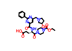 CCOC(=O)N1CCN(C(=O)[C@H](CCC(=O)O)NC(=O)c2cc(CN3CC[C@@H](O)C3)nc(-c3ccccc3)n2)CC1